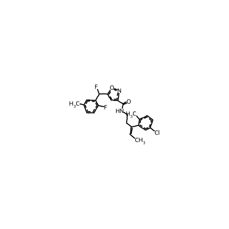 C/C=C(/CCNC(=O)c1cc(C(F)c2cc(C)ccc2F)on1)c1cc(Cl)ccc1C